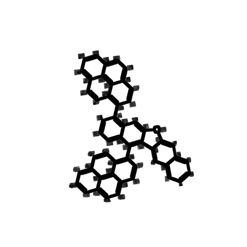 c1ccc2cc3c(cc2c1)oc1cc2c(-c4ccc5ccc6cccc7ccc4c5c67)cccc2c(-c2ccc4ccc5cccc6ccc2c4c56)c13